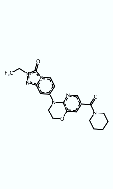 O=C(c1cnc2c(c1)OCCN2c1ccn2c(=O)n(CC(F)(F)F)nc2c1)N1CCCCC1